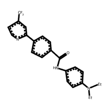 CCN(CC)c1ccc(NC(=O)c2ccc(-c3cc(C(F)(F)F)ccn3)cc2)cc1